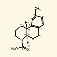 CC(=O)N1CCO[C@@H]2c3cc(C)ccc3CC[C@H]21